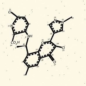 Cc1cc([C@@H](C)Nc2ccc(Cl)nc2C(=O)O)c2oc(-c3cnn(C)c3)c(Cl)c(=O)c2c1